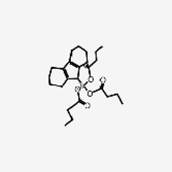 CCCC(=O)[O][Ti]([O]C(=O)CCC)([O]C(=O)CCC)[CH]1C2=C(CCCC2)C2=C1CCCC2